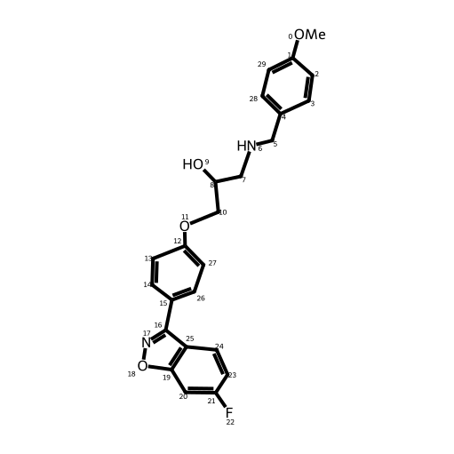 COc1ccc(CNCC(O)COc2ccc(-c3noc4cc(F)ccc34)cc2)cc1